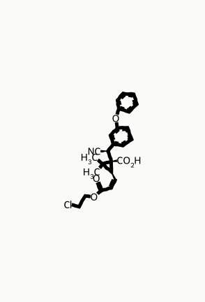 CC1(C)[C@H](/C=C\C(=O)OCCCl)[C@@]1(C(=O)O)[C@@H](C#N)c1cccc(Oc2ccccc2)c1